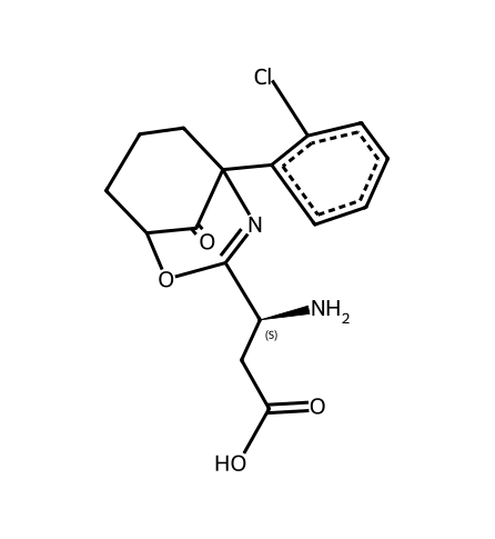 N[C@@H](CC(=O)O)C1=NC2(c3ccccc3Cl)CCCC(O1)C2=O